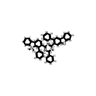 C[Si]1(C)c2ccccc2-c2ccc(-c3nc(-c4ccccc4)nc(-c4cc5oc6ccccc6c5cc4-c4ccccc4)n3)c(-c3ccccc3)c21